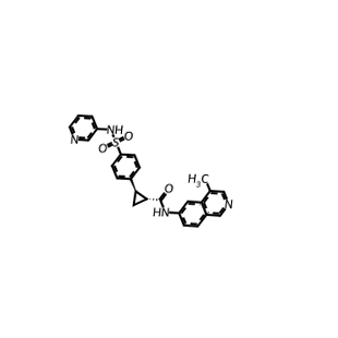 Cc1cncc2ccc(NC(=O)[C@@H]3C[C@H]3c3ccc(S(=O)(=O)Nc4cccnc4)cc3)cc12